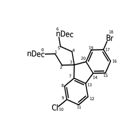 CCCCCCCCCCCCC1(CCCCCCCCCCCC)c2cc(Cl)ccc2-c2ccc(Br)cc21